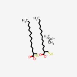 CCCCCCCCCCCCCC(CS)C(=O)[O-].CCCCCCCCCCCCCC(CS)C(=O)[O-].[CH3][Sn+2][CH3]